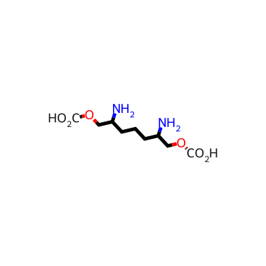 NC(CCCC(N)COC(=O)O)COC(=O)O